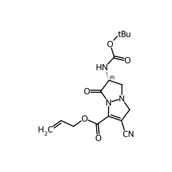 C=CCOC(=O)C1=C(C#N)CN2C[C@@H](NC(=O)OC(C)(C)C)C(=O)N12